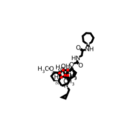 CO[C@@]12CC[C@@]3(C[C@@H]1C(C)(O)C(C)(C)C)C1Cc4ccc(OC(=O)NCC(=O)NN5CCCCCC5)c5c4[C@@]3(CCN1CC1CC1)[C@H]2O5